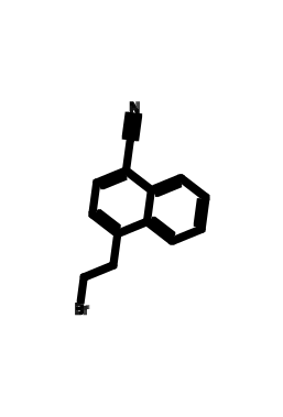 N#Cc1ccc(CCBr)c2ccccc12